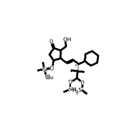 C[SiH2]OC(O[SiH2]C)C(C)(C)[C@H](C=CC1C(O[Si](C)(C)C(C)(C)C)CC(=O)C1CO)C1CCCCC1